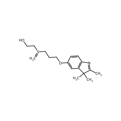 C=S(CCO)CCCOc1ccc2c(c1)C(C)(C)C(C)=N2